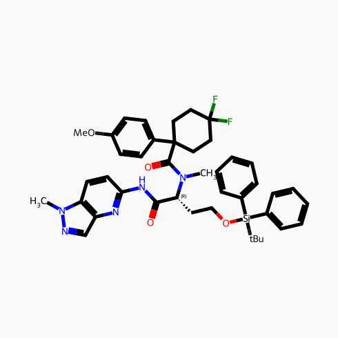 COc1ccc(C2(C(=O)N(C)[C@H](CCO[Si](c3ccccc3)(c3ccccc3)C(C)(C)C)C(=O)Nc3ccc4c(cnn4C)n3)CCC(F)(F)CC2)cc1